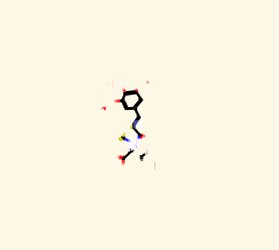 COc1cc(/C=C2\SC(=S)N([C@@H](C(=O)O)C(C)C)C2=O)cc(OC)c1O